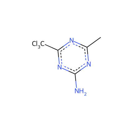 Cc1nc(N)nc(C(Cl)(Cl)Cl)n1